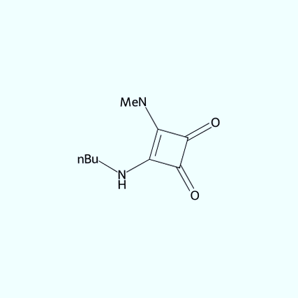 CCCCNc1c(NC)c(=O)c1=O